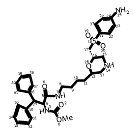 COC(=O)N[C@H](C(=O)NCCCCC1CNC[C@@H](CS(=O)(=O)c2ccc(N)cc2)O1)C(c1ccccc1)c1ccccc1